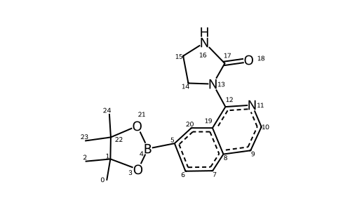 CC1(C)OB(c2ccc3ccnc(N4CCNC4=O)c3c2)OC1(C)C